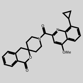 COc1cc(C(=O)N2CCC3(CC2)Cc2cc[c]cc2C(=O)O3)nc2c(C3CC3)cccc12